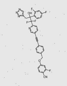 N#Cc1ccc(OCc2ccc(C#Cc3ccc(C(F)(F)C(O)(Cn4cnnn4)c4ccc(F)cc4F)nc3)cc2)cc1F